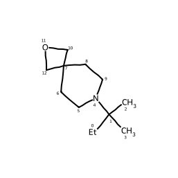 CCC(C)(C)N1CCC2(CC1)COC2